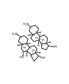 C[C@]12CC[C@H](N)C[C@H]1CC[C@@H]1[C@@H]2CC[C@]2(C)[C@@H](O)CC[C@@H]12.C[C@]12CC[C@H](N)C[C@H]1C[C@H](O)[C@@H]1[C@@H]2CC[C@]2(C)[C@@H](O)CC[C@@H]12